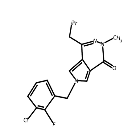 CC(C)Cc1nn(C)c(=O)c2cn(Cc3cccc(Cl)c3F)cc12